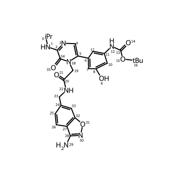 CC(C)Nc1ncc(-c2cc(O)cc(NC(=O)OC(C)(C)C)c2)n(CC(=O)NCc2ccc3c(N)noc3c2)c1=O